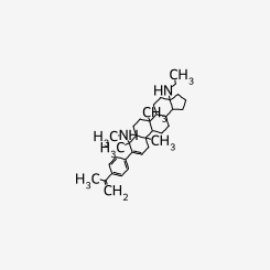 C=C(C)c1ccc(C2=CCC3(C)C(CCC4(C)C5CCC6(NCC)CCCC6C5CCC43)C2(C)NC)cc1